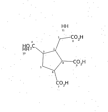 O=C(O)CC1C(C(=O)O)CC(C(=O)O)C1C(=O)O.[HH].[HH]